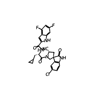 N#C[C@@H]1C[C@@]2(CN1C(=O)[C@H](CC1CC1)NC(=O)c1cc3c(F)cc(F)cc3[nH]1)C(=O)Nc1ccc(Cl)cc12